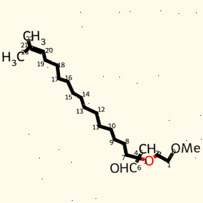 COCCOC(C)(C=O)CCCCCCCCCCCCCC=C(C)C